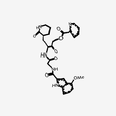 COc1cccc2[nH]c(C(=O)NCC(=O)NC(C[C@@H]3CCCNC3=O)C(=O)COC(=O)c3ccccn3)cc12